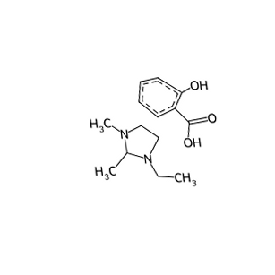 CCN1CCN(C)C1C.O=C(O)c1ccccc1O